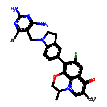 CCc1nc(N)nc(N)c1CN1CCc2cc(-c3c(F)cc4c(=O)c(C(=O)O)cn5c4c3OCC5C)ccc21